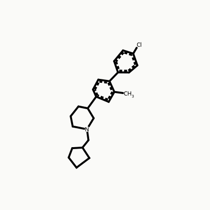 Cc1cc(C2CCCN(CC3CCCC3)C2)ccc1-c1ccc(Cl)cc1